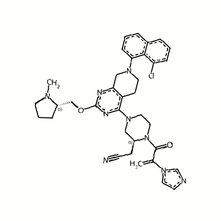 C=C(C(=O)N1CCN(c2nc(OC[C@@H]3CCCN3C)nc3c2CCN(c2cccc4cccc(Cl)c24)C3)C[C@@H]1CC#N)n1ccnc1